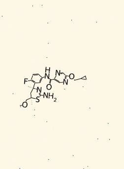 COC[C@@]1(C)C[C@@](C)(c2cc(NC(=O)c3cnc(OCC4CC4)cn3)ccc2F)N=C(N)S1